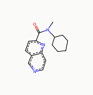 CN(C(=O)c1ccc2cnccc2n1)C1CCCCC1